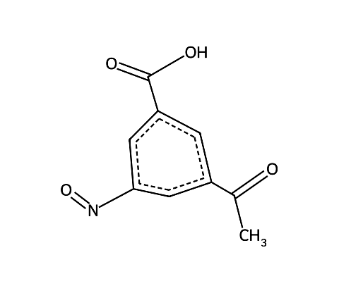 CC(=O)c1cc(N=O)cc(C(=O)O)c1